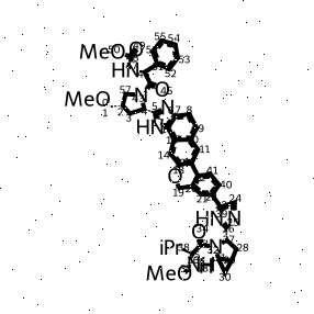 COC[C@H]1C[C@@H](c2nc3ccc4cc5c(cc4c3[nH]2)OCc2cc(-c3cnc([C@@H]4CC6C[C@H]6N4C(=O)[C@@H](NOC)C(C)C)[nH]3)ccc2-5)N(C(=O)[C@H](NC(=O)OC)c2ccccc2)C1